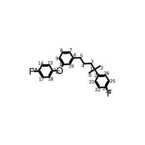 CC(C)(CCCc1cccc(Oc2ccc(F)cc2)c1)c1ccc(F)cc1